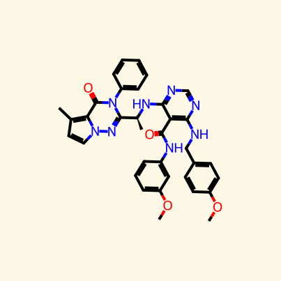 COc1ccc(CNc2ncnc(N[C@@H](C)c3nn4ccc(C)c4c(=O)n3-c3ccccc3)c2C(=O)Nc2cccc(OC)c2)cc1